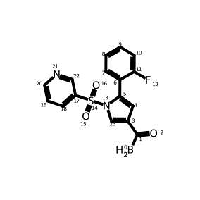 BC(=O)c1cc(-c2ccccc2F)n(S(=O)(=O)c2cccnc2)c1